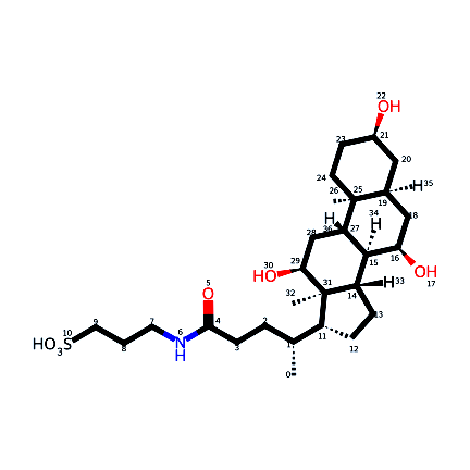 C[C@H](CCC(=O)NCCCS(=O)(=O)O)[C@H]1CC[C@H]2[C@@H]3[C@H](O)C[C@@H]4C[C@H](O)CC[C@]4(C)[C@H]3C[C@H](O)[C@]12C